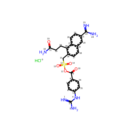 Cl.N=C(N)Nc1ccc(C(=O)OS(=O)(=O)Cc2ccc3cc(C(=N)N)ccc3c2CCC(N)=O)cc1